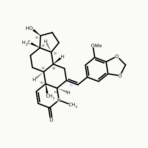 COc1cc(/C=C2\C[C@@H]3[C@H](CC[C@]4(C)[C@@H](O)CC[C@@H]34)[C@@]3(C)C=CC(=O)N(C)[C@H]23)cc2c1OCO2